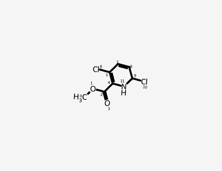 COC(=O)C1=C(Cl)C=C[C](Cl)N1